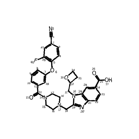 N#Cc1ccc(Oc2cccc(C(=O)N3CCN(Cc4nc5ccc(C(=O)O)cc5n4CC4CCO4)CC3)c2)c(F)c1